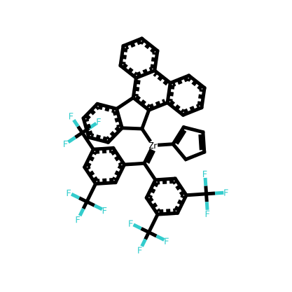 FC(F)(F)c1cc([C](c2cc(C(F)(F)F)cc(C(F)(F)F)c2)=[Zr]([C]2=CC=CC2)[CH]2c3ccccc3-c3c2c2ccccc2c2ccccc32)cc(C(F)(F)F)c1